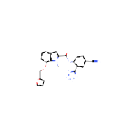 Cn1c(C(=O)Nc2ccc(C#N)cc2-c2nnn[nH]2)cc2cccc(OCc3ccco3)c21